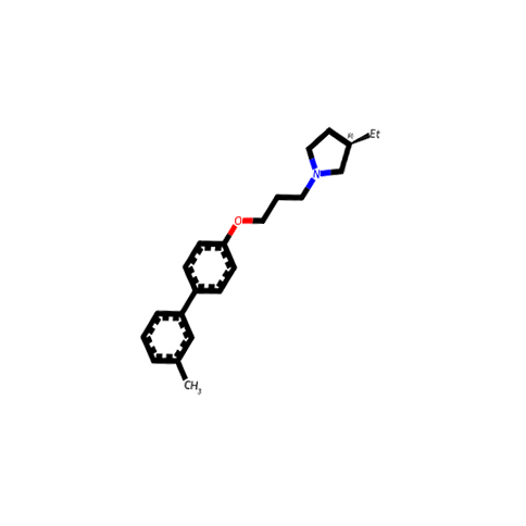 CC[C@@H]1CCN(CCCOc2ccc(-c3cccc(C)c3)cc2)C1